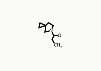 CCC([O])N1CCC2(CC2)C1